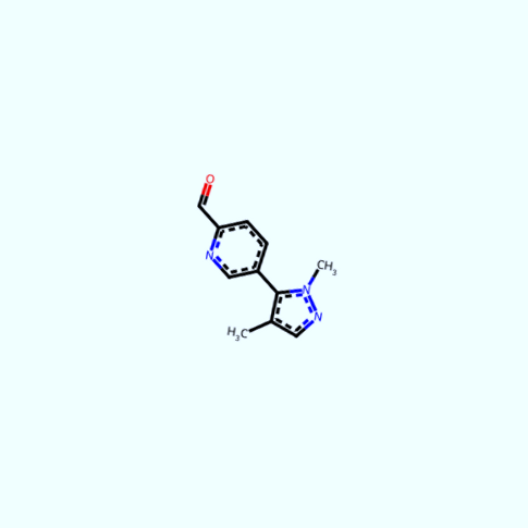 Cc1cnn(C)c1-c1ccc(C=O)nc1